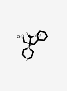 COC(=O)[C@](CC=O)(CC1CCCCC1)N1CCOCC1